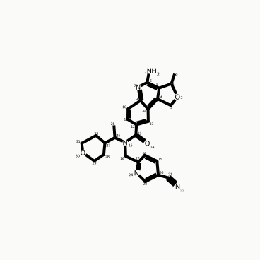 CC1OCc2c1c(N)nc1ccc(C(=O)N(Cc3ccc(C#N)cn3)C(C)C3CCOCC3)cc21